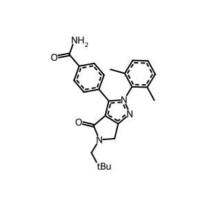 Cc1cccc(C)c1-n1nc2c(c1-c1ccc(C(N)=O)cc1)C(=O)N(CC(C)(C)C)C2